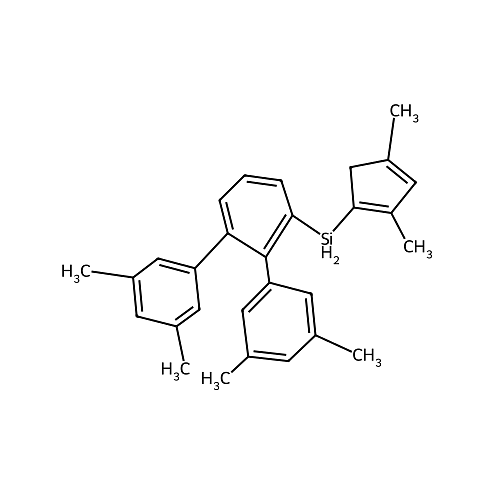 CC1=CC(C)=C([SiH2]c2cccc(-c3cc(C)cc(C)c3)c2-c2cc(C)cc(C)c2)C1